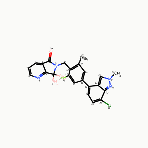 BC1(B)c2ncccc2C(=O)N1Cc1c(F)cc(-c2ccc(Cl)c3nn(C)cc23)cc1OCC(C)C